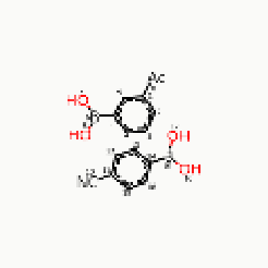 CC(=O)c1cccc(B(O)O)c1.N#Cc1ccc(B(O)O)cc1